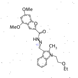 CCOCCn1c(C)c(/C=N/NC(=O)c2cc3c(OC)cc(OC)cc3o2)c2ccccc21